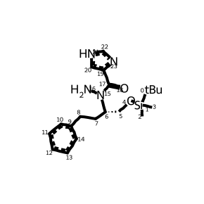 CC(C)(C)[Si](C)(C)OC[C@H](CCc1ccccc1)N(N)C(=O)c1c[nH]cn1